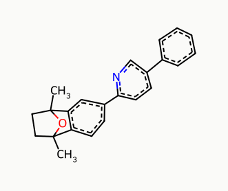 CC12CCC(C)(O1)c1cc(-c3ccc(-c4ccccc4)cn3)ccc12